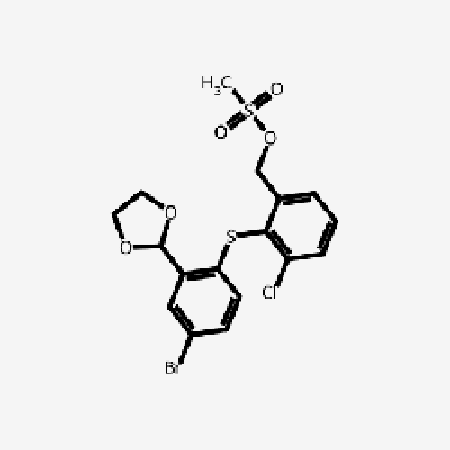 CS(=O)(=O)OCc1cccc(Cl)c1Sc1ccc(Br)cc1C1OCCO1